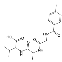 Cc1ccc(C(=O)NCC(=O)NC(C)C(=O)NC(C(=O)O)C(C)C)cc1